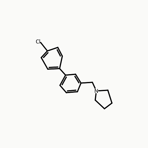 Clc1ccc(-c2cccc(CN3CCCC3)c2)cc1